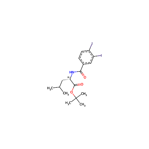 CC(C)C[C@H](NC(=O)c1ccc(I)c(I)c1)C(=O)OC(C)(C)C